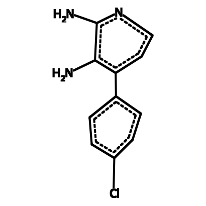 Nc1nccc(-c2ccc(Cl)cc2)c1N